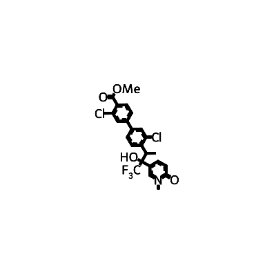 COC(=O)c1ccc(-c2ccc(C(C)C(O)(c3ccc(=O)n(C)c3)C(F)(F)F)c(Cl)c2)cc1Cl